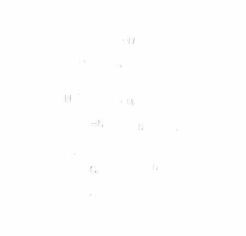 COC(=O)C(C)(C)Nc1nc(Cl)ncc1[N+](=O)[O-]